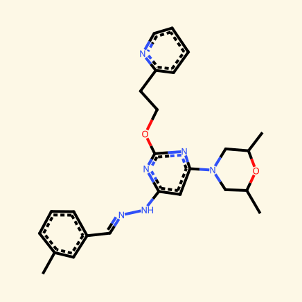 Cc1cccc(/C=N/Nc2cc(N3CC(C)OC(C)C3)nc(OCCc3ccccn3)n2)c1